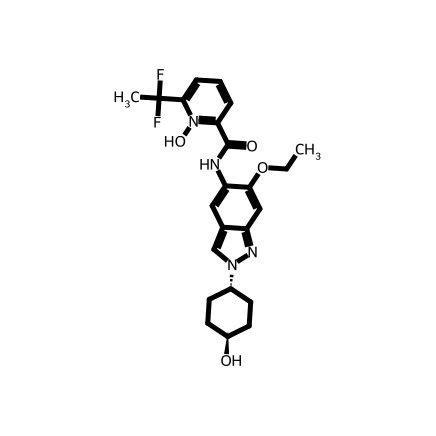 CCOc1cc2nn([C@H]3CC[C@H](O)CC3)cc2cc1NC(=O)c1cccc(C(C)(F)F)[n+]1O